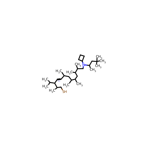 CC(/C=C/C(C(C)C)C(C)CS)CC(C)C(C)CC(C)C(C)CN(C(C)CC(C)(C)C)C1CCC1